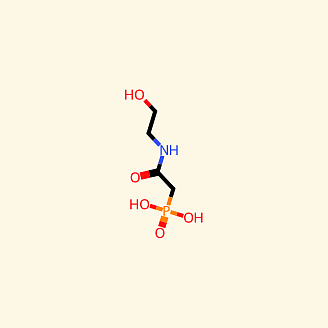 O=C(CP(=O)(O)O)NCCO